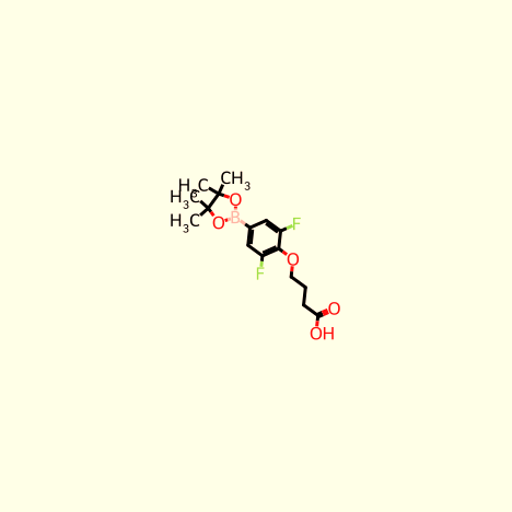 CC1(C)OB(c2cc(F)c(OCCCC(=O)O)c(F)c2)OC1(C)C